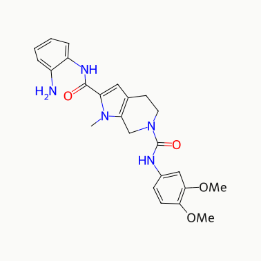 COc1ccc(NC(=O)N2CCc3cc(C(=O)Nc4ccccc4N)n(C)c3C2)cc1OC